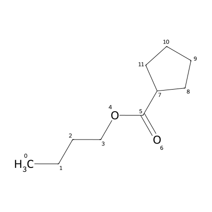 CCCCOC(=O)C1CCCC1